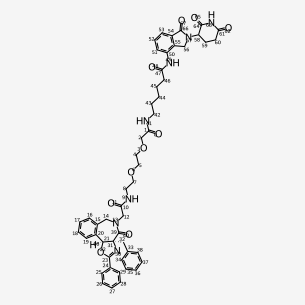 O=C(COCCOCCNC(=O)CN1Cc2ccccc2[C@@H]2OC(c3ccccc3)=N[C@]2(Cc2ccccc2)C1=O)NCCCCCC(=O)Nc1cccc2c1CN(C1CCC(=O)NC1=O)C2=O